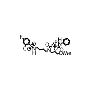 COCC(CN(CCCCNS(=O)(=O)c1ccc(F)cc1Cl)C(=O)NC(C)C)OC(=O)Nc1ccccc1